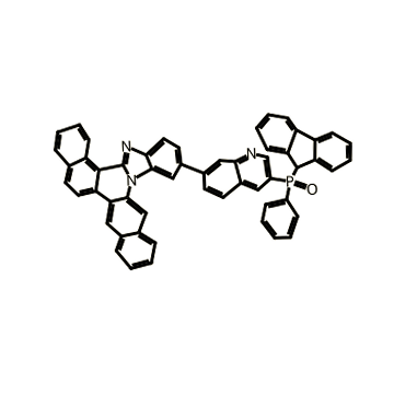 O=P(c1ccccc1)(c1cnc2cc(-c3ccc4nc5c6c7ccccc7ccc6c6cc7ccccc7cc6n5c4c3)ccc2c1)C1c2ccccc2-c2ccccc21